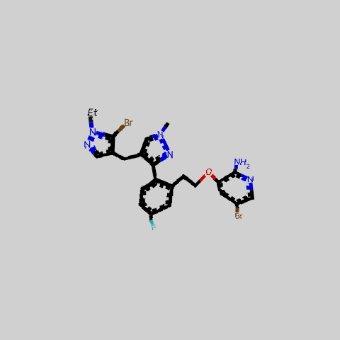 CCn1ncc(Cc2cn(C)nc2-c2ccc(F)cc2CCOc2cc(Br)cnc2N)c1Br